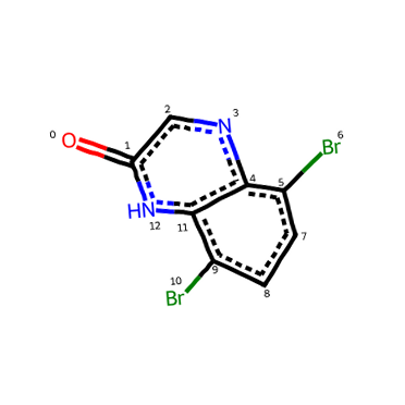 O=c1cnc2c(Br)ccc(Br)c2[nH]1